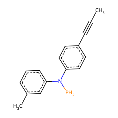 CC#Cc1ccc(N(P)c2cccc(C)c2)cc1